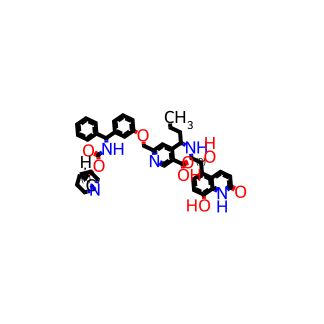 CCCC(NC[C@H](O)c1ccc(O)c2[nH]c(=O)ccc12)c1cc(COc2cccc(C(NC(=O)O[C@H]3CN4CCC3CC4)c3ccccc3)c2)ncc1C(=O)O